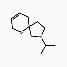 CC(C)N1CCC2(CC=CCO2)C1